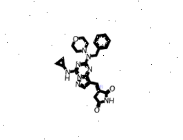 O=C1C/C(=C\c2cnn3c(NC4CC4)nc(N(Cc4ccccc4)N4CCOCC4)nc23)C(=O)N1